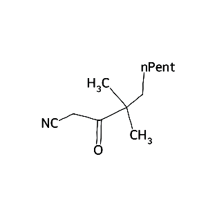 CCCCCCC(C)(C)C(=O)CC#N